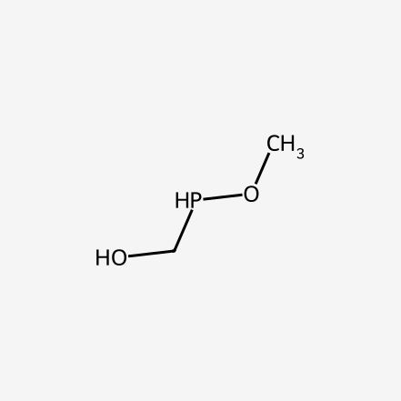 COPCO